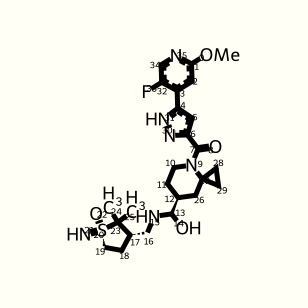 COc1cc(-c2cc(C(=O)N3CC[C@H](C(O)NC[C@@H]4CC[S@](=N)(=O)C4(C)C)CC34CC4)n[nH]2)c(F)cn1